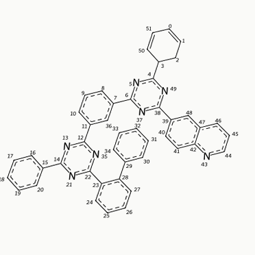 C1=CCC(c2nc(-c3cccc(-c4nc(-c5ccccc5)nc(-c5ccccc5-c5ccccc5)n4)c3)nc(-c3ccc4ncccc4c3)n2)C=C1